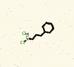 Cl[SiH](Cl)CCCC1CC=CCC1